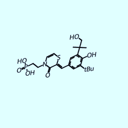 CC(C)(C)c1cc(C=C2SC=CN(CCP(=O)(O)O)C2=O)cc(C(C)(C)CO)c1O